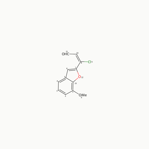 COc1cccc2cc(/C(Cl)=C\C=O)oc12